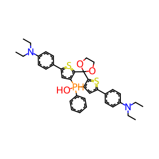 CCN(CC)c1ccc(-c2cc3c(s2)C2(OCCO2)c2sc(-c4ccc(N(CC)CC)cc4)cc2[PH]3(O)c2ccccc2)cc1